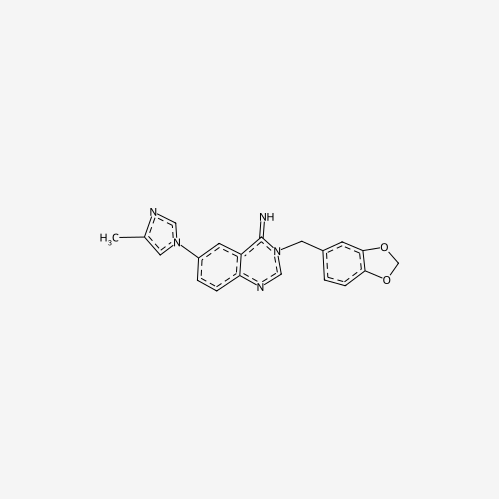 Cc1cn(-c2ccc3ncn(Cc4ccc5c(c4)OCO5)c(=N)c3c2)cn1